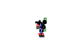 C=CC[C@@]1(C=C)C[C@H](c2cccc(Cl)c2)[C@@H](C2(C)C=CC(Cl)=CC2)N([C@@H](CC)CN2CCN(C(=O)OC(C)(C)C)CC2)C1=O